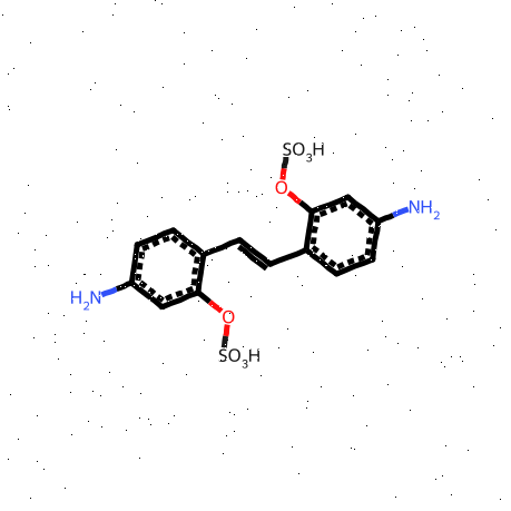 Nc1ccc(C=Cc2ccc(N)cc2OS(=O)(=O)O)c(OS(=O)(=O)O)c1